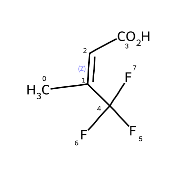 C/C(=C/C(=O)O)C(F)(F)F